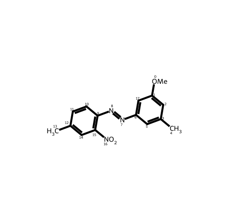 COc1cc(C)cc(N=Nc2ccc(C)cc2[N+](=O)[O-])c1